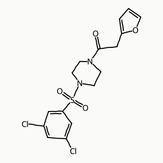 O=C(Cc1ccco1)N1CCN(S(=O)(=O)c2cc(Cl)cc(Cl)c2)CC1